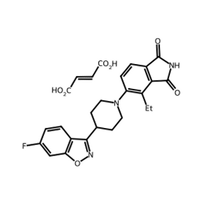 CCc1c(N2CCC(c3noc4cc(F)ccc34)CC2)ccc2c1C(=O)NC2=O.O=C(O)/C=C/C(=O)O